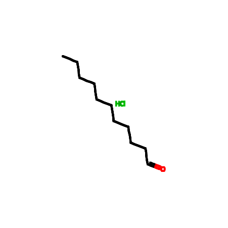 CCCCCCCCCCC=O.Cl